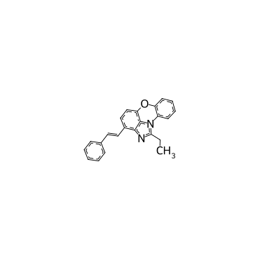 CCc1nc2c(/C=C/c3ccccc3)ccc3c2n1-c1ccccc1O3